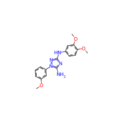 COc1cccc(-n2nc(Nc3ccc(OC)c(OC)c3)nc2N)c1